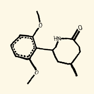 COc1cccc(OC)c1C1CC(C)CC(=O)N1